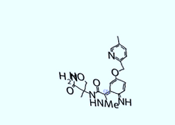 CN/C(C(=O)NC(C)(CO)C(N)=O)=C1/C=C(OCc2ccc(C)cn2)C=CC1=N